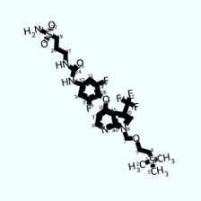 C[Si](C)(C)CCOCn1cc(C(F)(F)F)c2c(Oc3c(F)cc(NC(=O)NCCCS(N)(=O)=O)cc3F)ccnc21